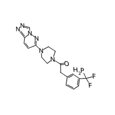 O=C(Cc1cccc(C(F)(F)P)c1)N1CCN(c2ccc3nncn3n2)CC1